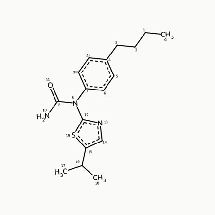 CCCCc1ccc(N(C(N)=O)c2ncc(C(C)C)s2)cc1